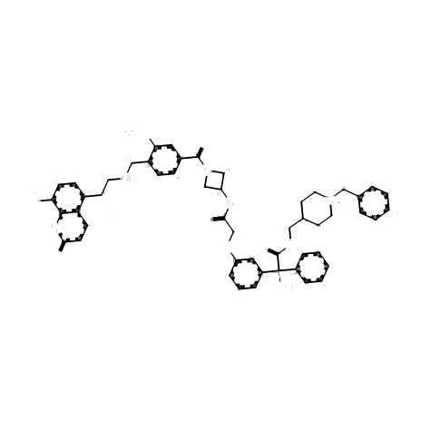 COc1cc(C(=O)N2CC(NC(=O)COc3cccc([C@](O)(C(=O)OCC4CCN(Cc5ccccc5)CC4)c4ccccc4)c3)C2)ccc1CNC[C@H](O)c1ccc(O)c2[nH]c(=O)ccc12